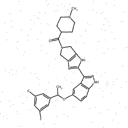 CC(Oc1ccc2[nH]nc(-c3nc4c([nH]3)CN(C(=O)C3CCN(C)CC3)C4)c2c1)c1cc(F)cc(F)c1